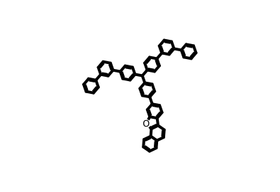 c1ccc(-c2cccc(-c3ccc(C(c4ccc(-c5cccc(-c6ccccc6)c5)cc4)c4ccc(-c5ccc6c(c5)oc5c7ccccc7ccc65)cc4)cc3)c2)cc1